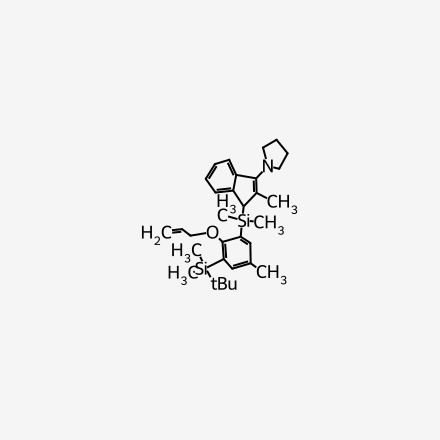 C=CCOc1c([Si](C)(C)C2C(C)=C(N3CCCC3)c3ccccc32)cc(C)cc1[Si](C)(C)C(C)(C)C